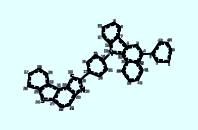 c1ccc(-c2cc3c4ccccc4n(-c4ccc(-c5nc6ccc7sc8ccccc8c7c6s5)cc4)c3c3ccccc23)cc1